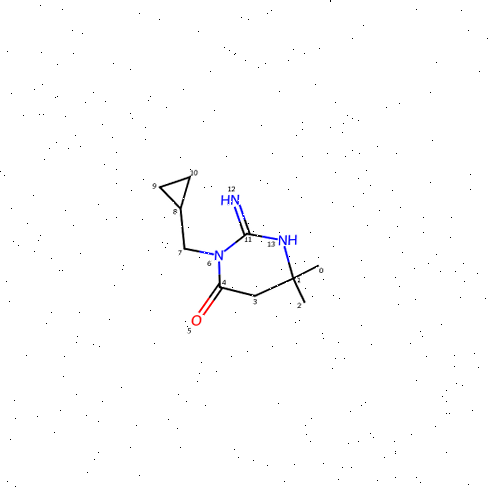 CC1(C)CC(=O)N(CC2CC2)C(=N)N1